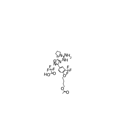 CC(=O)OCCCCOc1ccc(-c2noc([C@@H]3CCCN3C(=N)N)n2)cc1C(F)(F)F.O=C(O)C(F)(F)F